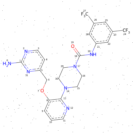 Nc1nccc(COc2cccnc2N2CCN(C(=O)Nc3cc(C(F)(F)F)cc(C(F)(F)F)c3)CC2)n1